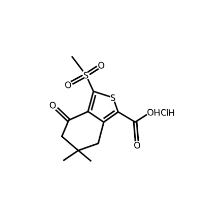 CC1(C)CC(=O)c2c(S(C)(=O)=O)sc(C(=O)O)c2C1.Cl